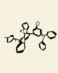 Cc1ccc(-n2c3ccccc3c3cc(-c4cc(Cl)cc(N(c5ccccc5)c5ccccc5)c4)c4c5ccccc5oc4c32)cc1